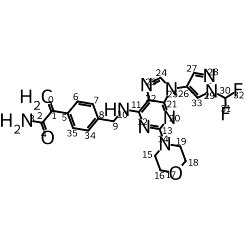 C=C(C(N)=O)c1ccc(CNc2nc(N3CCOCC3)nc3c2ncn3-c2cnn(C(F)F)c2)cc1